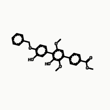 COC(=O)c1ccc(-c2cc(OC)c(-c3ccc(OCc4ccccc4)c(O)c3)c(O)c2OC)cc1